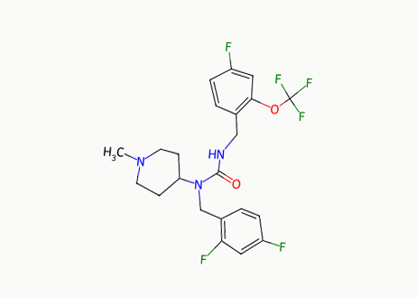 CN1CCC(N(Cc2ccc(F)cc2F)C(=O)NCc2ccc(F)cc2OC(F)(F)F)CC1